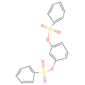 O=S(=O)(Oc1c[c]cc(OS(=O)(=O)c2ccccc2)c1)c1ccccc1